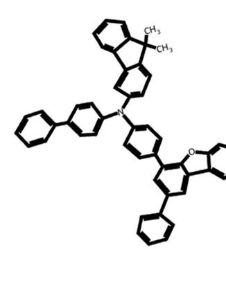 CC1(C)c2ccccc2-c2cc(N(c3ccc(-c4ccccc4)cc3)c3ccc(-c4cc(-c5ccccc5)cc5c4oc4ccccc45)cc3)ccc21